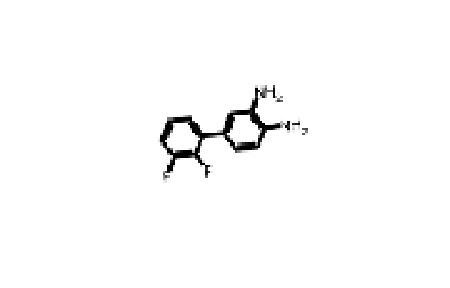 Nc1ccc(-c2cccc(F)c2F)cc1N